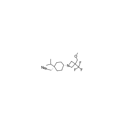 COCC1(C(F)(F)F)CN([C@H]2CC[C@](CC#N)(C(C)C)CC2)C1